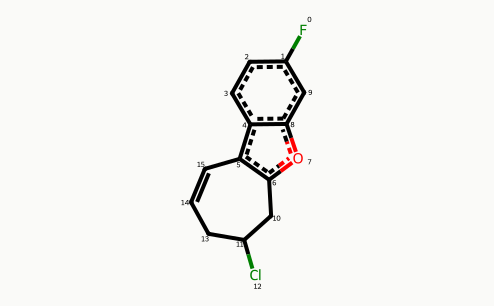 Fc1ccc2c3c(oc2c1)CC(Cl)CC=C3